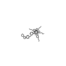 CCCCOC[C@H]1S[C@@H](c2cccc(Cc3ccc(OC4CCCC4)cc3)c2)[C@H](OCCCC)[C@@H](OCCCC)[C@@H]1OCCCC